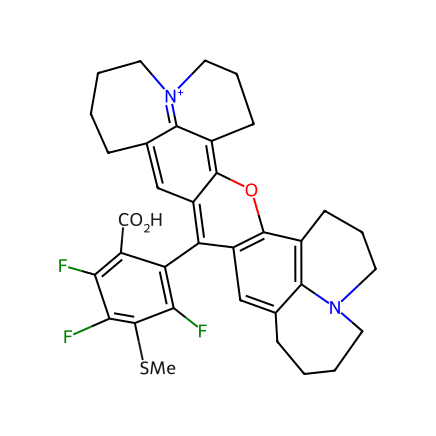 CSc1c(F)c(F)c(C(=O)O)c(C2=c3cc4c5c(c3Oc3c2cc2c6c3CCCN6CCCC2)CCC[N+]=5CCCC4)c1F